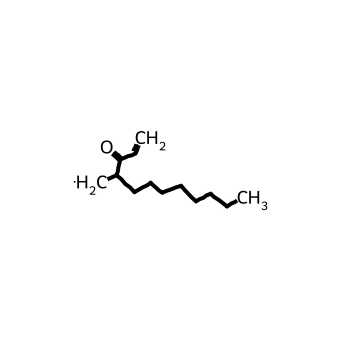 [CH2]C(CCCCCCCC)C(=O)C=C